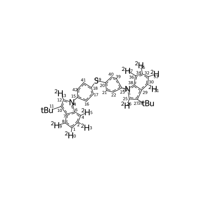 [2H]c1c([2H])c([2H])c2c(c1[2H])c(C(C)(C)C)c([2H])n2-c1ccc(Sc2ccc(-n3c([2H])c(C(C)(C)C)c4c([2H])c([2H])c([2H])c([2H])c43)cc2)cc1